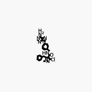 Cn1nc(Cl)c(C(=O)NCC2C#CC=C(n3cnc4c(N)ncnc43)C=C2)c1Cc1ccccc1